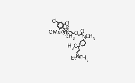 CCN(C)CCC(C)N1CC[C@@H](N(C)C(=O)COCCN(C)S(=O)(=O)c2c(Cl)cc(Cl)cc2OC)C1